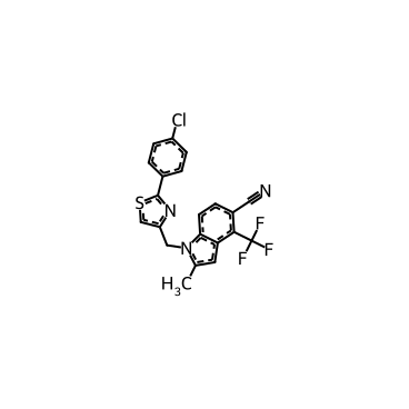 Cc1cc2c(C(F)(F)F)c(C#N)ccc2n1Cc1csc(-c2ccc(Cl)cc2)n1